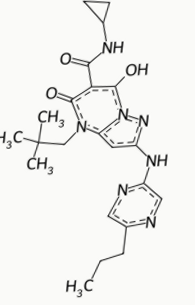 CCCc1cnc(Nc2cc3n(CC(C)(C)C)c(=O)c(C(=O)NC4CC4)c(O)n3n2)cn1